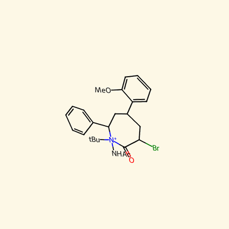 COc1ccccc1C1CC(Br)C(=O)[N+](NC(C)=O)(C(C)(C)C)C(c2ccccc2)C1